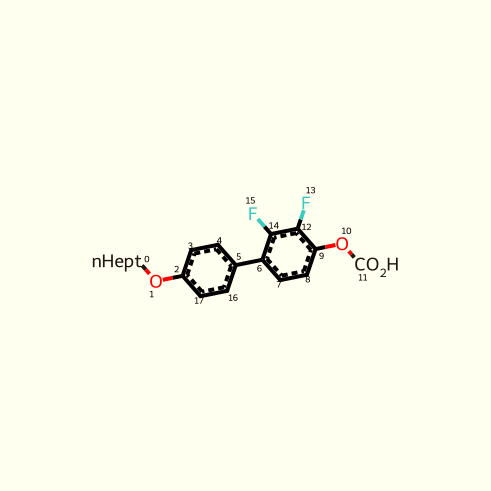 CCCCCCCOc1ccc(-c2ccc(OC(=O)O)c(F)c2F)cc1